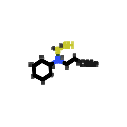 COCCN(SS)C1CCCCC1